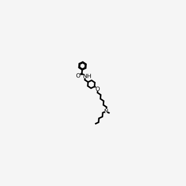 CCCCCN(C)CCCCCCOC1CCC(CNC(=O)c2ccccc2)CC1